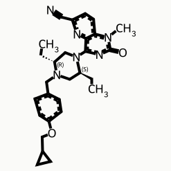 CC[C@@H]1CN(c2nc(=O)n(C)c3ccc(C#N)nc23)[C@@H](CC)CN1Cc1ccc(OCC2CC2)cc1